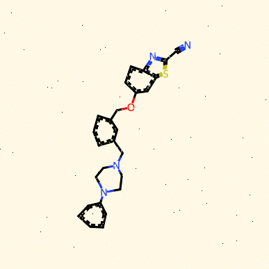 N#Cc1nc2ccc(OCc3cccc(CN4CCN(c5ccccc5)CC4)c3)cc2s1